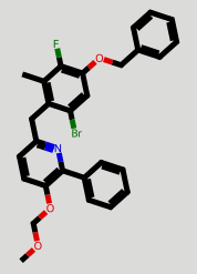 COCOc1ccc(Cc2c(Br)cc(OCc3ccccc3)c(F)c2C)nc1-c1ccccc1